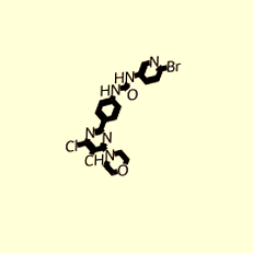 Cc1c(Cl)nc(-c2ccc(NC(=O)Nc3ccc(Br)nc3)cc2)nc1N1CCOCC1